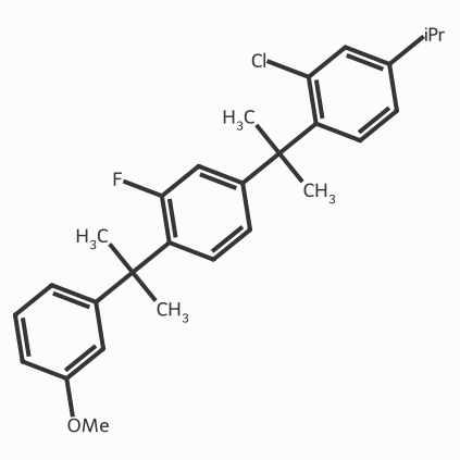 COc1cccc(C(C)(C)c2ccc(C(C)(C)c3ccc(C(C)C)cc3Cl)cc2F)c1